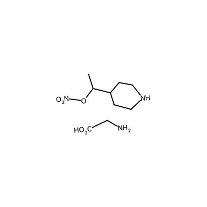 CC(O[N+](=O)[O-])C1CCNCC1.NCC(=O)O